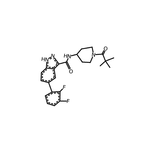 CC(C)(C)C(=O)N1CCC(NC(=O)c2n[nH]c3ccc(-c4cccc(F)c4F)cc23)CC1